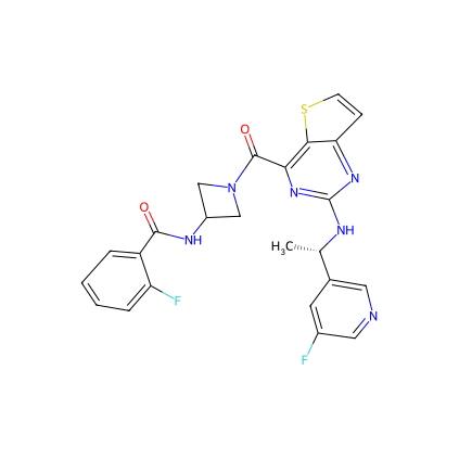 C[C@H](Nc1nc(C(=O)N2CC(NC(=O)c3ccccc3F)C2)c2sccc2n1)c1cncc(F)c1